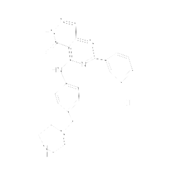 Cl.O=c1[nH]ncc2nc(-c3ccccc3)nc(Nc3ccc(CN4CCNCC4)cc3)c12